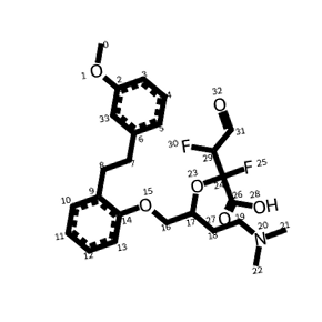 COc1cccc(CCc2ccccc2OCC(CCN(C)C)OC(F)(C(=O)O)C(F)C=O)c1